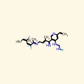 C=Cc1cc(NCNF)c(C(=N)/C(C)=C/C/N=C(C)/C(F)=C\C(C)=C/CCCC)cn1